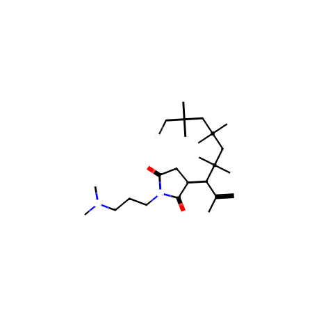 C=C(C)C(C1CC(=O)N(CCCN(C)C)C1=O)C(C)(C)CC(C)(C)CC(C)(C)CC(C)(C)C